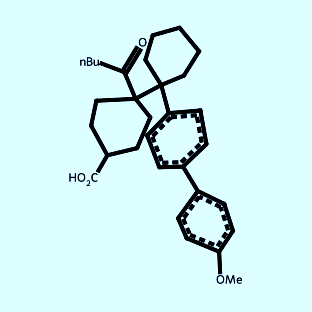 CCCCC(=O)C1(C2(c3ccc(-c4ccc(OC)cc4)cc3)CCCCC2)CCC(C(=O)O)CC1